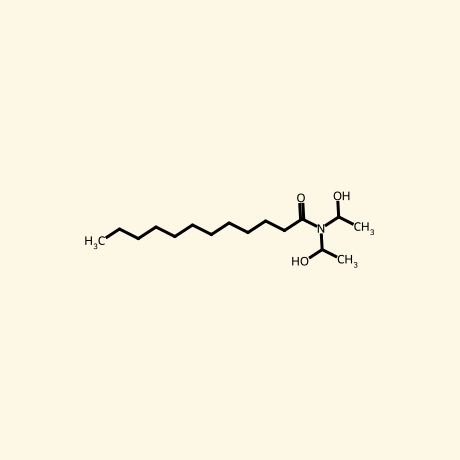 CCCCCCCCCCCC(=O)N(C(C)O)C(C)O